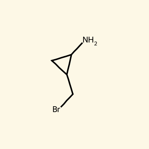 NC1CC1CBr